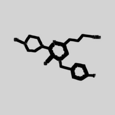 CNCCCc1cn(Cc2ccc(F)cc2)c(=O)c(N2CC[S+]([O-])CC2)n1